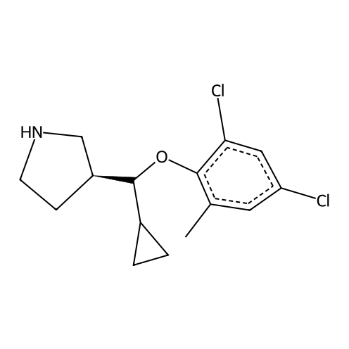 Cc1cc(Cl)cc(Cl)c1OC(C1CC1)[C@H]1CCNC1